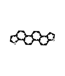 c1cc2c(ccc3c2ccc2c3ccc3c2ccc2ccsc23)s1